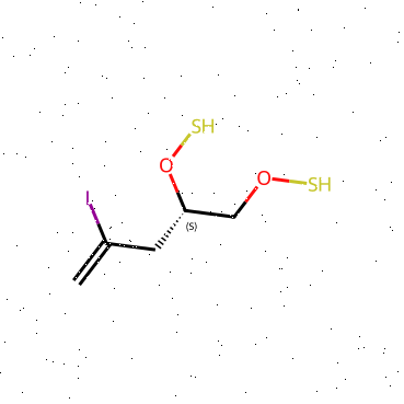 C=C(I)C[C@@H](COS)OS